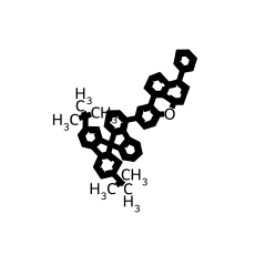 CC(C)(C)c1ccc2c(c1)C1(c3cc(C(C)(C)C)ccc3-2)c2ccccc2-c2c(-c3ccc4c(c3)-c3cccc5c(-c6ccccc6)ccc(c35)O4)cccc21